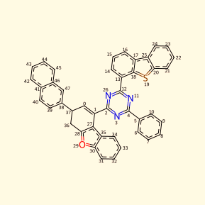 C1=C(c2nc(-c3ccccc3)nc(-c3cccc4c3sc3ccccc34)n2)c2c(oc3ccccc23)CC1c1ccc2ccccc2c1